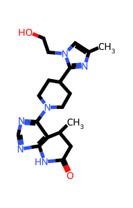 Cc1cn(CCO)c(C2CCN(c3ncnc4c3C(C)CC(=O)N4)CC2)n1